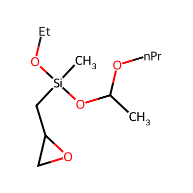 CCCOC(C)O[Si](C)(CC1CO1)OCC